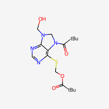 CC(C)(C)C(=O)OCSc1ncnc2c1N(C(=O)C(C)(C)C)CN2CO